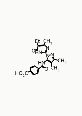 CCc1c(C)nc(-n2nc(C)c(C)c2NC(=O)c2ccc(C(=O)O)cc2)[nH]c1=O